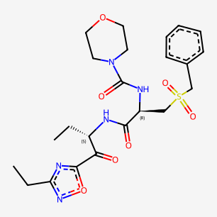 CCc1noc(C(=O)[C@H](CC)NC(=O)[C@H](CS(=O)(=O)Cc2ccccc2)NC(=O)N2CCOCC2)n1